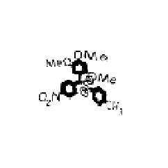 COc1cc(OC)c(C(c2ccc([N+](=O)[O-])cc2)S(=O)(=O)c2ccc(C)cc2)cc1OC